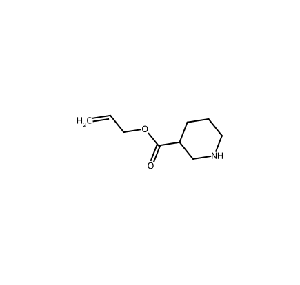 C=CCOC(=O)C1CCCNC1